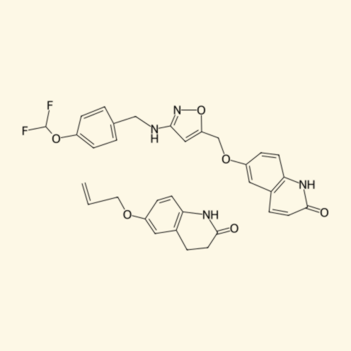 C=CCOc1ccc2c(c1)CCC(=O)N2.O=c1ccc2cc(OCc3cc(NCc4ccc(OC(F)F)cc4)no3)ccc2[nH]1